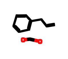 C=CCc1ccccc1.O=C=O